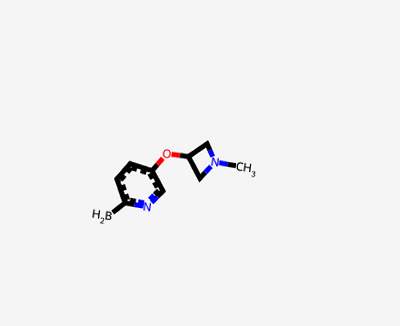 Bc1ccc(OC2CN(C)C2)cn1